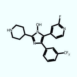 On1c(C2CCNCC2)nc(-c2cccc(C(F)(F)F)c2)c1-c1ccnc(F)c1